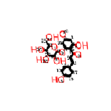 COc1cc(O)c(C(=O)C=Cc2ccc(O)cc2)c(OC2OC(CO)C(O)C(O)C2O)c1